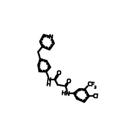 O=C(CC(=O)Nc1ccc(Cl)c(C(F)(F)F)c1)Nc1ccc(Cc2ccncc2)cc1